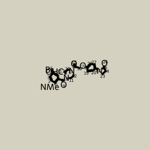 CNc1ccc(Br)cc1C(=O)N1CCN(C(=O)COc2ccc(N3CCC3=O)cc2)CC1C=O